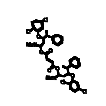 CNC(CC(Oc1cc(Cl)ccc1Cl)C(C)c1ccccc1)OC(=O)/C=C/C(=O)OC(CC(Oc1cc(Cl)ccc1Cl)C(C)c1ccccc1)NC